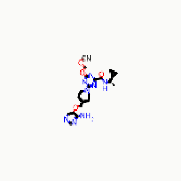 C[C@@H](NC(=O)c1nc(OCOC#N)nc(N2CCC(COc3cncnc3N)CC2)n1)C1CC1